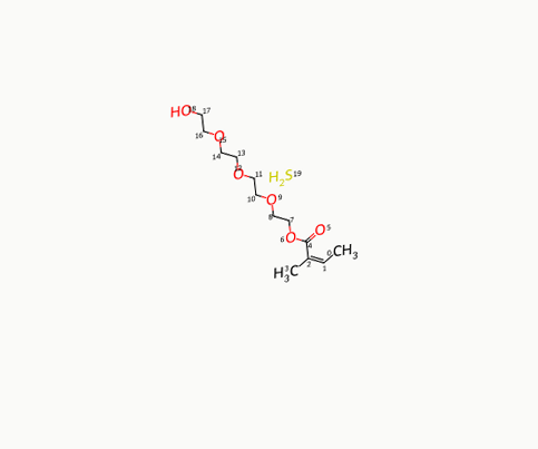 CC=C(C)C(=O)OCCOCCOCCOCCO.S